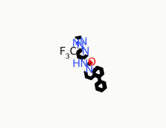 O=C(Nc1cnc(-n2nccn2)c(C(F)(F)F)c1)N1CCCc2c(-c3ccccc3)cccc21